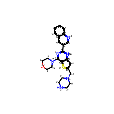 c1ccc2ncc(-c3nc(N4CCOCC4)c4sc(CN5CCNCC5)cc4n3)cc2c1